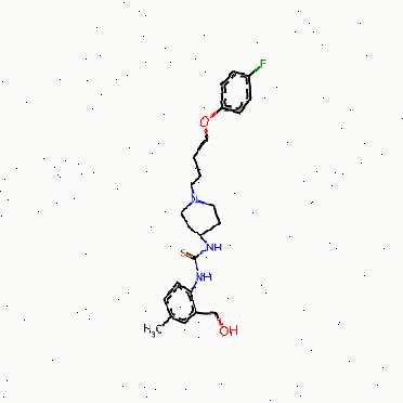 Cc1ccc(NC(=S)NC2CCN(CCCCOc3ccc(F)cc3)CC2)c(CO)c1